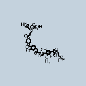 Cc1c(-c2cnc(C(=O)Cc3ccc(C(=O)N4CCN(C(=O)CCC[N+](C)(CC(=O)O)CC5CNC5)CC4)c(Cl)c3)n2C)ccc(-c2cnn(CCOC(F)F)c2C)c1F